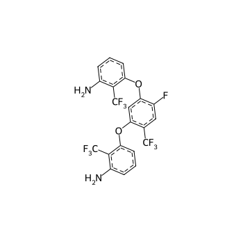 Nc1cccc(Oc2cc(Oc3cccc(N)c3C(F)(F)F)c(C(F)(F)F)cc2F)c1C(F)(F)F